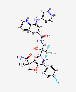 C[C@]1(C(N)=O)COc2c1cc(C(O)(CNC(=O)c1cc(Nc3ccnnc3)c3ncccc3c1)C(F)(F)F)nc2-c1ccc(F)cc1